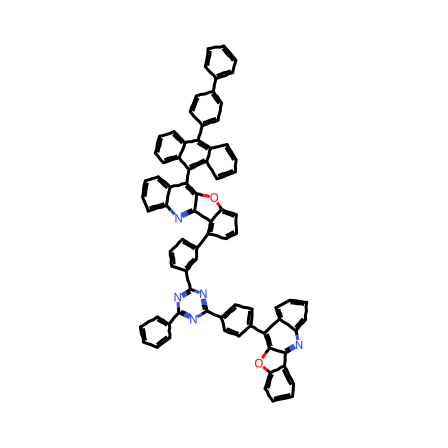 c1ccc(-c2ccc(-c3c4ccccc4c(-c4c5ccccc5nc5c4oc4cccc(-c6cccc(-c7nc(-c8ccccc8)nc(-c8ccc(-c9c%10ccccc%10nc%10c9oc9ccccc9%10)cc8)n7)c6)c45)c4ccccc34)cc2)cc1